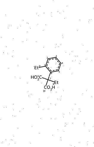 CCc1ccccc1C(CC)(C(=O)O)C(=O)O